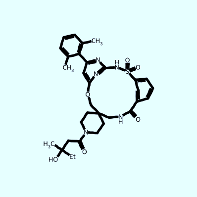 CCC(C)(O)CC(=O)N1CCC2(CC1)CNC(=O)c1cccc(c1)S(=O)(=O)Nc1nc(cc(-c3c(C)cccc3C)n1)OC2